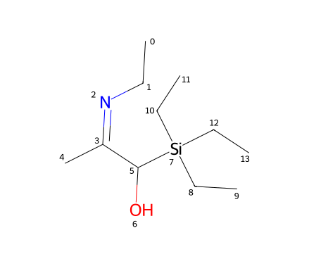 CCN=C(C)C(O)[Si](CC)(CC)CC